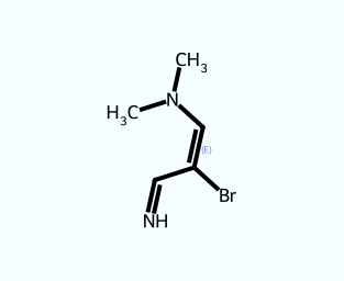 CN(C)/C=C(/Br)C=N